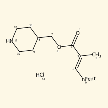 CCCCCC=C(C)C(=O)OCC1CCNCC1.Cl